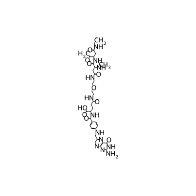 CCNC(=O)CC(NC(=O)C(CC(=O)NCCOCCNC(=O)CCC(NC(=O)c1ccc(NCc2cnc3nc(N)[nH]c(=O)c3n2)cc1)C(=O)O)NC)C(C)=O